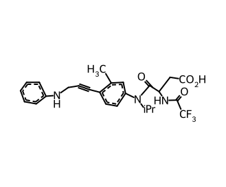 Cc1cc(N(C(=O)C(CC(=O)O)NC(=O)C(F)(F)F)C(C)C)ccc1C#CCNc1ccccc1